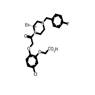 CC[C@@H]1CN(Cc2ccc(F)cc2)CCN1C(=O)COc1ccc(Cl)cc1OCC(=O)O